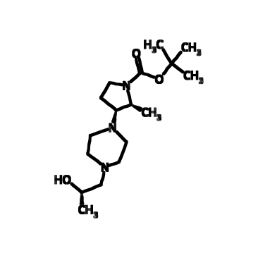 C[C@@H](O)CN1CCN([C@H]2CCN(C(=O)OC(C)(C)C)[C@H]2C)CC1